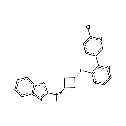 Clc1ccc(-c2nccnc2O[C@H]2C[C@H](Nc3nc4ccccc4s3)C2)cn1